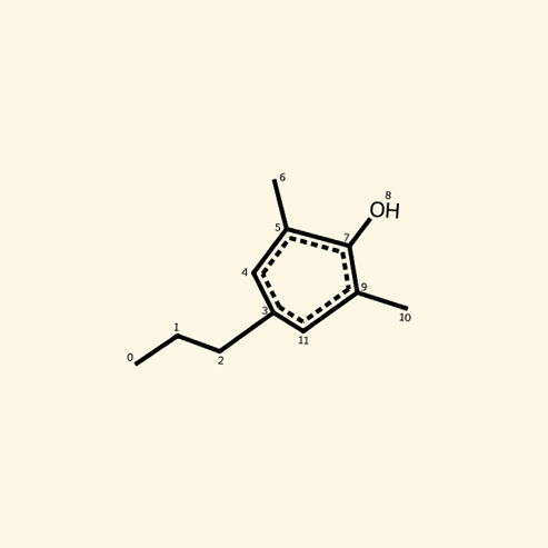 CCCc1cc(C)c(O)c(C)c1